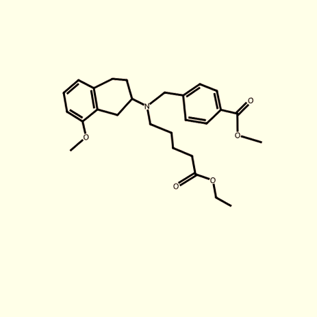 CCOC(=O)CCCCN(Cc1ccc(C(=O)OC)cc1)C1CCc2cccc(OC)c2C1